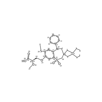 CCCCC1(CCCC)CN(c2ccccc2)c2cc(SC)c(OC[C@@H](OC)C(=O)O)cc2S(=O)(=O)C1